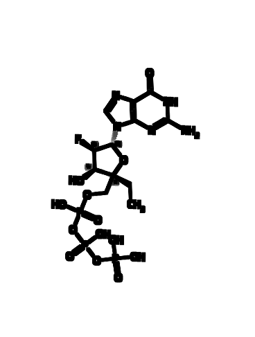 CC[C@]1(COP(=O)(O)OP(=O)(O)OP(=O)(O)O)O[C@@H](n2cnc3c(=O)[nH]c(N)nc32)[C@H](F)[C@@H]1O